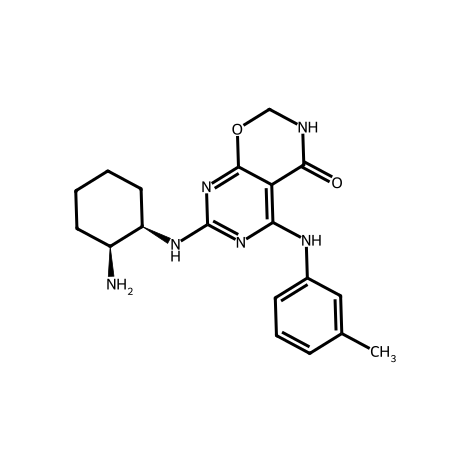 Cc1cccc(Nc2nc(N[C@@H]3CCCC[C@@H]3N)nc3c2C(=O)NCO3)c1